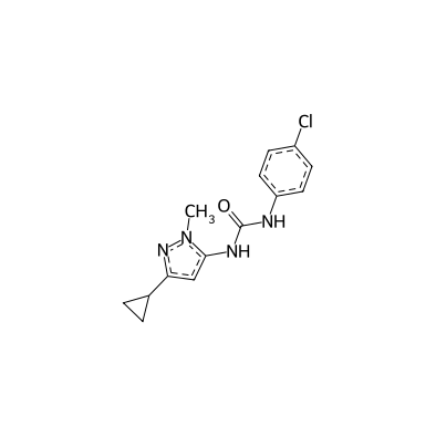 Cn1nc(C2CC2)cc1NC(=O)Nc1ccc(Cl)cc1